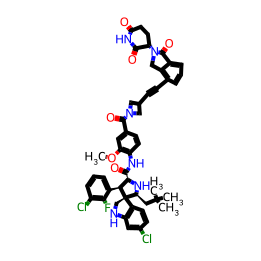 COc1cc(C(=O)N2CC(C#Cc3cccc4c3CN(C3CCC(=O)NC3=O)C4=O)C2)ccc1NC(=O)[C@@H]1N[C@@H](CC(C)(C)C)[C@@]2(CNc3cc(Cl)ccc32)[C@H]1c1cccc(Cl)c1F